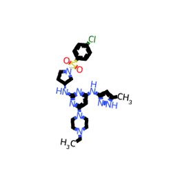 CCN1CCN(c2cc(Nc3cc(C)[nH]n3)nc(N[C@H]3CCN(S(=O)(=O)c4ccc(Cl)cc4)C3)n2)CC1